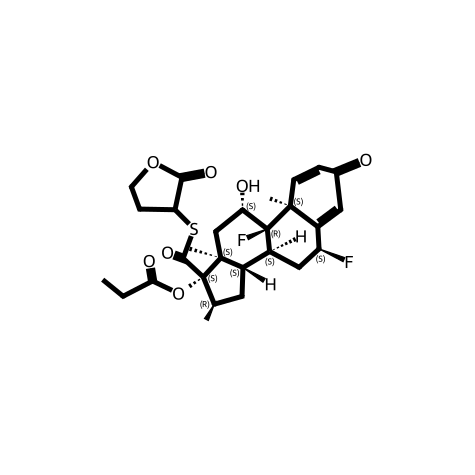 CCC(=O)O[C@@]1(C(=O)SC2CCOC2=O)[C@H](C)C[C@H]2[C@@H]3C[C@H](F)C4=CC(=O)C=C[C@]4(C)[C@@]3(F)[C@@H](O)C[C@@]21C